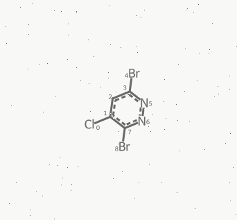 Clc1cc(Br)nnc1Br